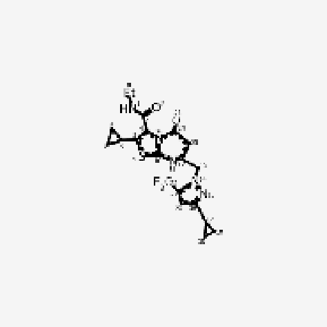 CCNC(=O)c1c(C2CC2)sc2nc(Cn3nc(C4CC4)cc3C(F)(F)F)cc(=O)n12